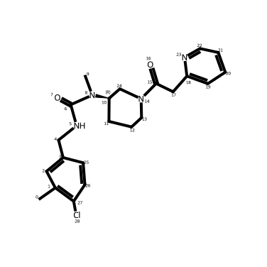 Cc1cc(CNC(=O)N(C)[C@@H]2CCCN(C(=O)Cc3ccccn3)C2)ccc1Cl